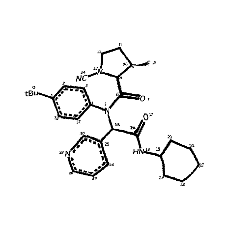 CC(C)(C)c1ccc(N(C(=O)C2[C@H](F)CCN2C#N)C(C(=O)NC2CCCCC2)c2cccnc2)cc1